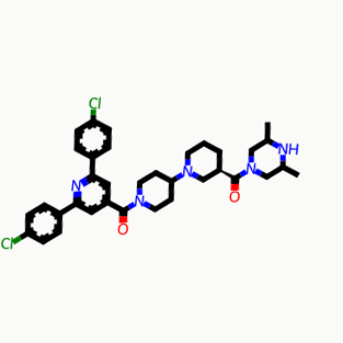 CC1CN(C(=O)[C@@H]2CCCN(C3CCN(C(=O)c4cc(-c5ccc(Cl)cc5)nc(-c5ccc(Cl)cc5)c4)CC3)C2)CC(C)N1